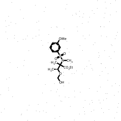 CCOC(=O)C(C)([C@H](C)OCO)N(C)S(=O)(=O)c1cccc(OC)c1